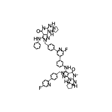 CN1C(=O)c2c(nn(Cc3ccc(-c4cc(-c5cccc(Nc6c7c(nn6Cc6ccc(-c8ccc(F)cn8)cc6)N6C(=N[C@@H]8CCC[C@@H]86)N(C)C7=O)c5)cc(F)n4)cc3)c2Nc2ccccc2)N2C1=N[C@@H]1CCC[C@@H]12